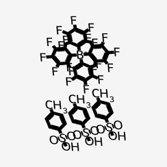 Cc1ccc(S(=O)(=O)O)cc1.Cc1ccc(S(=O)(=O)O)cc1.Cc1ccc(S(=O)(=O)O)cc1.Fc1c(F)c(F)c([B-](c2c(F)c(F)c(F)c(F)c2F)(c2c(F)c(F)c(F)c(F)c2F)c2c(F)c(F)c(F)c(F)c2F)c(F)c1F